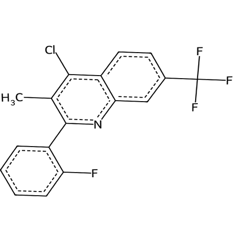 Cc1c(-c2ccccc2F)nc2cc(C(F)(F)F)ccc2c1Cl